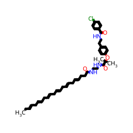 CCC=CCC=CCC=CCC=CCC=CCC=CCCC(=O)NCCNC(=O)C(C)(C)Oc1ccc(CCNC(=O)c2ccc(Cl)cc2)cc1